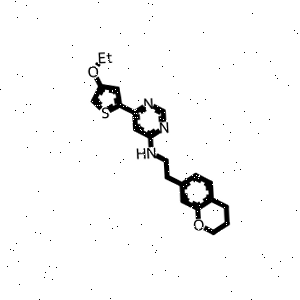 CCOc1csc(-c2cc(NCCc3ccc4c(c3)OCCC4)ncn2)c1